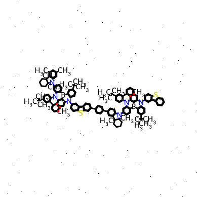 Cc1cc2c3c(c1)N(c1ccc(C(C)(C)C)cc1-c1ccccc1)c1cc(N4c5ccc(-c6ccc(-c7ccc8c(c7)sc7ccc(N9c%10ccc(C(C)(C)C)cc%10B%10c%11ccc(N%12c%13cc(C)cc(C)c%13C%13(C)CCCCC%12%13C)cc%11N(c%11ccc(C(C)(C)C)cc%11-c%11ccccc%11)c%11cc(C)cc9c%11%10)cc78)cc6)cc5C5(C)CCCCC45C)ccc1B3c1cc(C(C)(C)C)ccc1N2c1ccc2sc3ccccc3c2c1